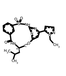 CCn1nccc1-c1cc2nc(n1)NS(=O)(=O)c1cccc(c1)C(=O)N[C@H](CC(C)C)CO2